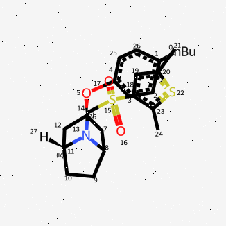 CCCCc1ccc(O[C@H]2CC3CC[C@H](C2)N3CS(=O)(=O)c2cc(C)sc2C)cc1